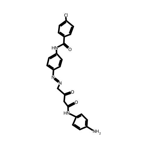 Nc1ccc(NC(=O)CC(=O)CN=Nc2ccc(NC(=O)c3ccc(Cl)cc3)cc2)cc1